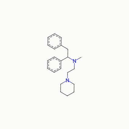 CN(CCN1CCCCC1)C(Cc1ccccc1)c1ccccc1